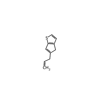 C=CCC1=Cc2sccc2C1